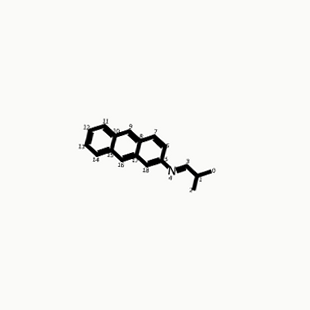 CC(C)/C=N/c1ccc2cc3ccccc3cc2c1